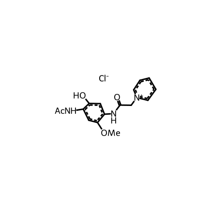 COc1cc(NC(C)=O)c(O)cc1NC(=O)C[n+]1ccccc1.[Cl-]